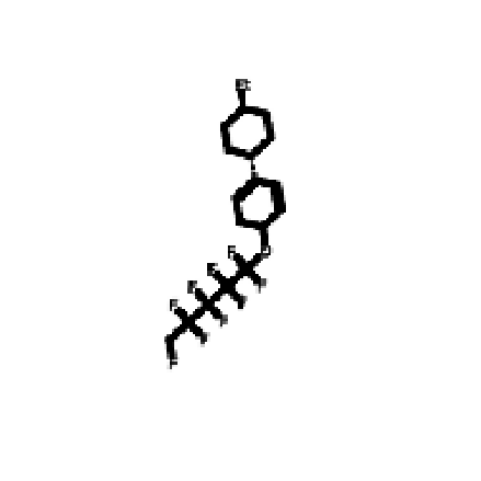 CC[C@H]1CC[C@H](C2=CCC(OC(F)(F)C(F)(F)C(F)(F)C(F)(F)CF)C=C2)CC1